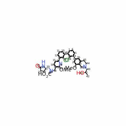 COc1cc(-c2cccc(-c3cccc(-c4ccc(CN(C[C@@H]5CCC(=O)N5)C(=O)O)c(OC)n4)c3Cl)c2Cl)cc2c1CN(CC(C)O)CC2